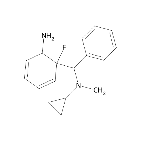 CN(C1CC1)C(c1ccccc1)C1(F)C=CC=CC1N